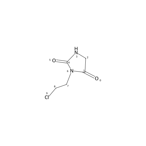 O=C1CNC(=O)N1CCCl